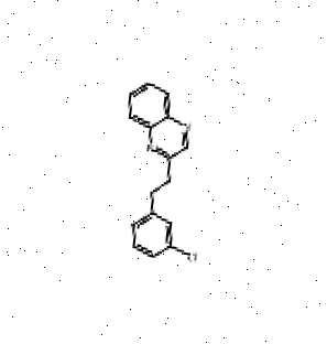 Clc1cccc(CCc2cnc3ccccc3n2)c1